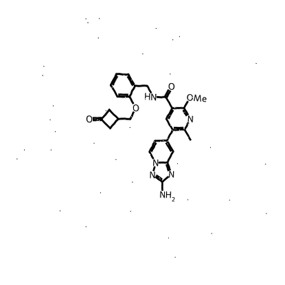 COc1nc(C)c(-c2ccn3nc(N)nc3c2)cc1C(=O)NCc1ccccc1OCC1CC(=O)C1